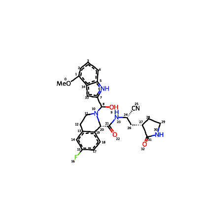 COc1cccc2[nH]c(C(O)N3CCc4cc(F)ccc4[C@H]3C(=O)N[C@H](C#N)C[C@@H]3CCNC3=O)cc12